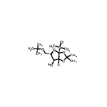 CC(C)(C)OC[C@H]1O[C@]2([Si](C)(C)Cl)OC(C)(C)O[C@@H]2[C@H]1O